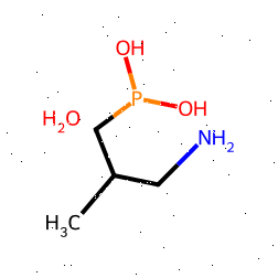 CC(CN)CP(O)O.O